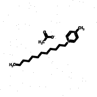 CC(=O)[O-].CCCCCCCCCCCC[n+]1ccc(C)cc1